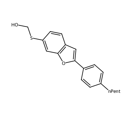 CCCCCc1ccc(-c2cc3ccc(SCO)cc3o2)cc1